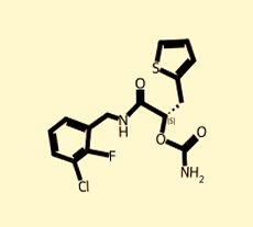 NC(=O)O[C@@H](Cc1cccs1)C(=O)NCc1cccc(Cl)c1F